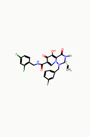 C=C[C@H]1N(CC)C(=O)c2c(O)c(=O)c(C(=O)NCc3ccc(F)cc3F)cn2N1Cc1cccc(F)c1